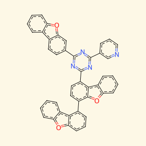 c1cncc(-c2nc(-c3ccc4c(c3)oc3ccccc34)nc(-c3ccc(-c4cccc5oc6ccccc6c45)c4oc5ccccc5c34)n2)c1